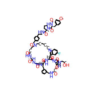 COc1ccc(C[C@H](NC=O)C(=O)N2CCC[C@@]2(C)C(=O)NCCc2ccc(CN3CCCCCCn4cc(c5cc(F)ccc54)C[C@@H]4NC(=O)[C@H](Cc5cccc(c5)CNC(=O)CO[C@H]5CCCN(C4=O)C5C(=O)NC[C@@H](C)O)NC(=O)CNC(=O)[C@H](C)NC(=O)CCC3=O)cc2)cc1